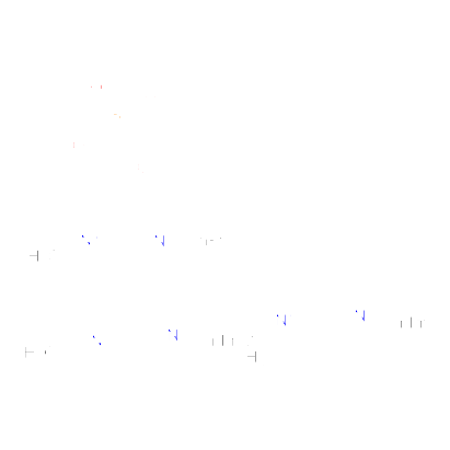 CCCn1cc[n+](C)c1.CCCn1cc[n+](C)c1.CCCn1cc[n+](C)c1.O=P([O-])([O-])[O-]